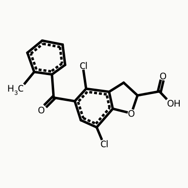 Cc1ccccc1C(=O)c1cc(Cl)c2c(c1Cl)CC(C(=O)O)O2